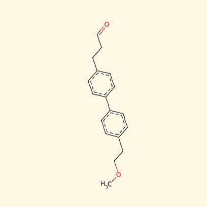 COCCc1ccc(-c2ccc(CCC=O)cc2)cc1